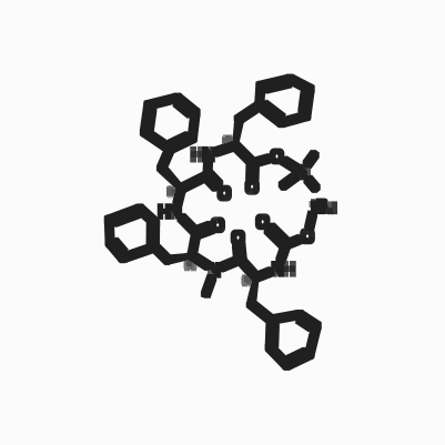 CN(C(=O)[C@H](Cc1ccccc1)NC(=O)OC(C)(C)C)[C@@H](Cc1ccccc1)C(=O)N[C@@H](Cc1ccccc1)C(=O)N[C@@H](Cc1ccccc1)C(=O)O[Si](C)(C)C